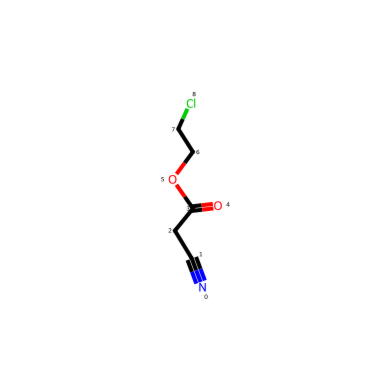 N#CCC(=O)OCCCl